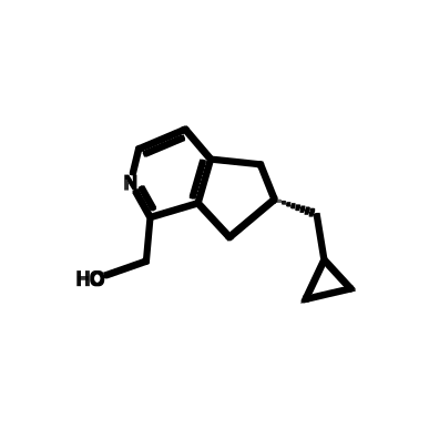 OCc1nccc2c1C[C@@H](CC1CC1)C2